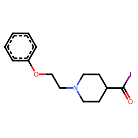 O=C(I)C1CCN(CCOc2ccccc2)CC1